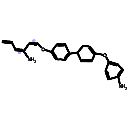 C=C/C=C(N)\C=C/Oc1ccc(C2C=CC(Oc3ccc(N)cc3)=CC2)cc1